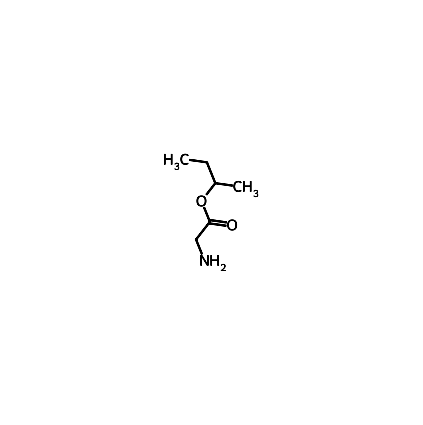 CCC(C)OC(=O)CN